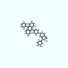 CC1=Nc2ccc(-c3ccc(-c4c5ccccc5c(-c5ccccc5)c5ccccc45)cc3)cc2C1c1ccccc1